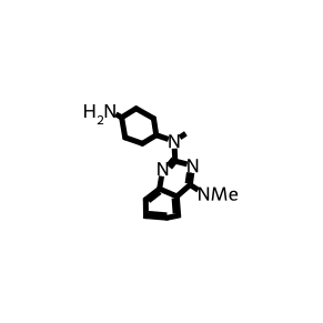 CNc1nc(N(C)C2CCC(N)CC2)nc2ccccc12